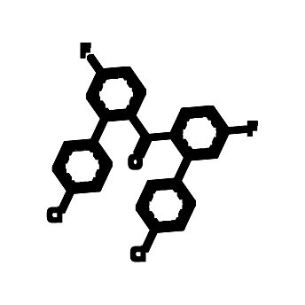 O=C(c1ccc(F)cc1-c1ccc(Cl)cc1)c1ccc(F)cc1-c1ccc(Cl)cc1